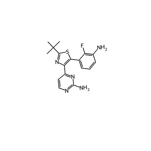 CC(C)(C)c1nc(-c2ccnc(N)n2)c(-c2cccc(N)c2F)s1